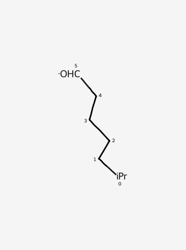 CC(C)CCCC[C]=O